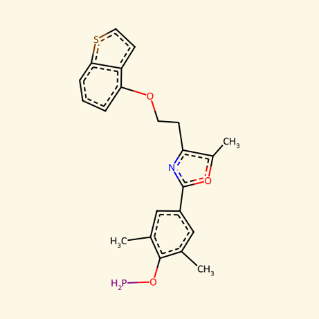 Cc1cc(-c2nc(CCOc3cccc4sccc34)c(C)o2)cc(C)c1OP